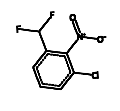 O=[N+]([O-])c1c(Cl)cccc1C(F)F